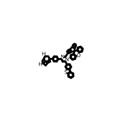 c1ccc2c(c1)Oc1ccccc1C21c2ccccc2-c2ccc(-c3nc(-c4ccc(C56CC7C[C@@H]8C[C@@H](C5)CC78C6)cc4)cc(-c4ccc5c(c4)sc4ccccc45)n3)cc21